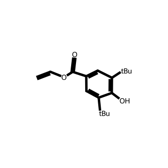 C=COC(=O)c1cc(C(C)(C)C)c(O)c(C(C)(C)C)c1